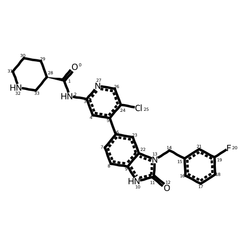 O=C(Nc1cc(-c2ccc3[nH]c(=O)n(Cc4cccc(F)c4)c3c2)c(Cl)cn1)[C@@H]1CCCNC1